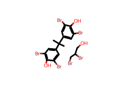 CC(C)(c1cc(Br)c(O)c(Br)c1)c1cc(Br)c(O)c(Br)c1.OCC(Br)CBr